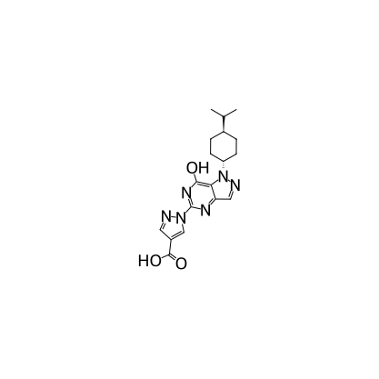 CC(C)[C@H]1CC[C@H](n2ncc3nc(-n4cc(C(=O)O)cn4)nc(O)c32)CC1